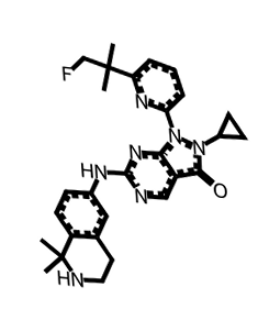 CC(C)(CF)c1cccc(-n2c3nc(Nc4ccc5c(c4)CCNC5(C)C)ncc3c(=O)n2C2CC2)n1